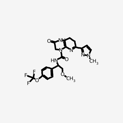 COCC(NC(=O)N1CC(=O)NC2=C1N=C(c1ccn(C)n1)CC2)c1ccc(OC(F)(F)F)cc1